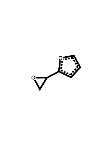 c1coc(C2CO2)c1